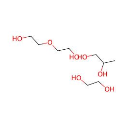 CC(O)CO.OCCO.OCCOCCO